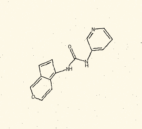 O=C(Nc1cccnc1)Nc1ccc2coccc1-2